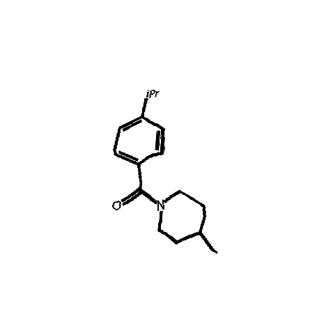 CC1CCN(C(=O)c2ccc(C(C)C)cc2)CC1